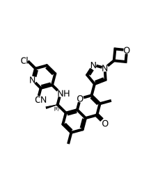 Cc1cc([C@@H](C)Nc2ccc(Cl)nc2C#N)c2oc(-c3cnn(C4COC4)c3)c(C)c(=O)c2c1